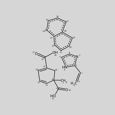 C=Cc1ncc[nH]1.CC1(C(=O)O)C=CC=C(C(=O)O)C1.c1ccc2ncccc2c1